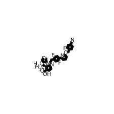 CO[C@]1(C)COC[C@@H]1n1c(Cc2cc(F)c(-c3cccc(OCc4ccc(C#N)cc4F)n3)cc2F)nc2ccc(C(=O)O)cc21